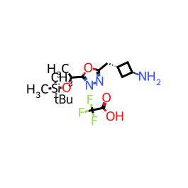 CC(O[Si](C)(C)C(C)(C)C)c1nnc(C[C@H]2C[C@H](N)C2)o1.O=C(O)C(F)(F)F